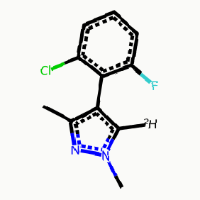 [2H]c1c(-c2c(F)cccc2Cl)c(C)nn1C